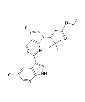 CCOC(=O)CC(n1cc(F)c2cnc(-c3n[nH]c4ncc(Cl)cc34)nc21)C(C)(C)C